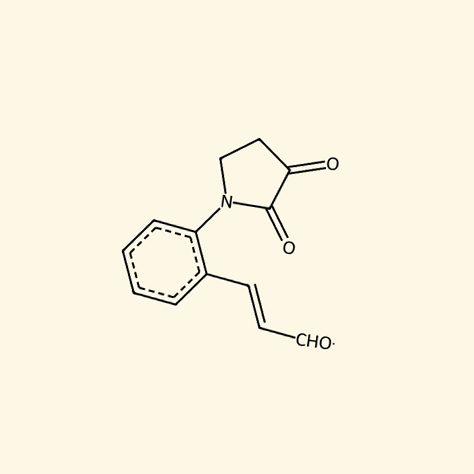 O=[C]/C=C/c1ccccc1N1CCC(=O)C1=O